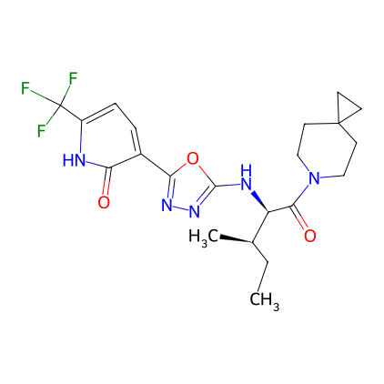 CC[C@@H](C)[C@@H](Nc1nnc(-c2ccc(C(F)(F)F)[nH]c2=O)o1)C(=O)N1CCC2(CC1)CC2